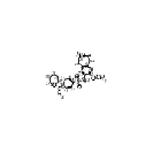 COc1nc2c(cc1NS(=O)(=O)C1=CCC(C)([C@H]3CCCCO3)C=C1)CCNCC2